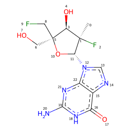 C[C@@]1(F)[C@H](O)[C@](CO)(CF)O[C@H]1n1cnc2c(=O)[nH]c(N)nc21